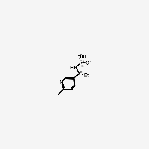 CC[C@@H](N[S@@+]([O-])C(C)(C)C)c1ccc(C)nc1